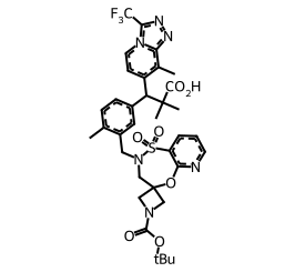 Cc1ccc(C(c2ccn3c(C(F)(F)F)nnc3c2C)C(C)(C)C(=O)O)cc1CN1CC2(CN(C(=O)OC(C)(C)C)C2)Oc2ncccc2S1(=O)=O